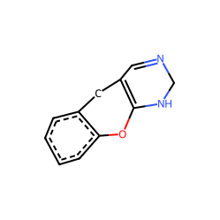 C1=NCNC2=C1Cc1ccccc1O2